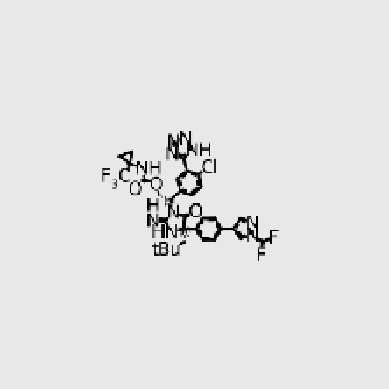 CC(C)(C)C[C@]1(c2ccc(-c3cnn(C(F)F)c3)cc2)NC(=N)N([C@H](COC(=O)NC2(C(F)(F)F)CC2)c2ccc(Cl)c(-c3nnn[nH]3)c2)C1=O